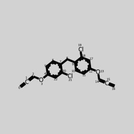 C=C=COc1ccc(Cc2ccc(OC=C=C)cc2Cl)c(Cl)c1